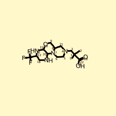 CC(C)(CN1CCN2C(COC3NC(C(F)(F)F)CNC32)C1)C(=O)O